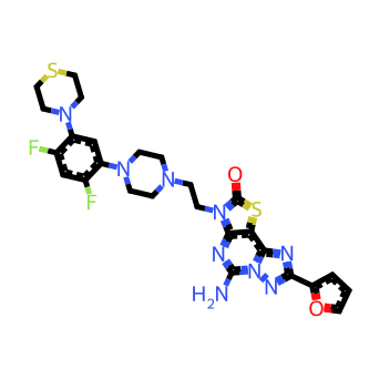 Nc1nc2c(sc(=O)n2CCN2CCN(c3cc(N4CCSCC4)c(F)cc3F)CC2)c2nc(-c3ccco3)nn12